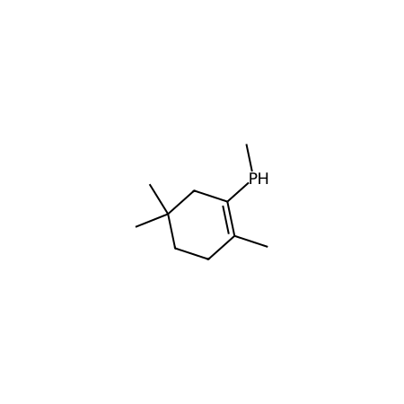 CPC1=C(C)CCC(C)(C)C1